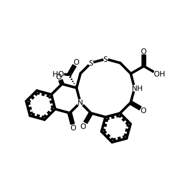 O=C1NC(C(=O)O)CSSC[C@]2(C(=O)O)C(=O)c3ccccc3C(=O)N2C(=O)c2ccccc21